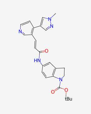 Cn1cc(-c2ccncc2/C=C/C(=O)Nc2ccc3c(c2)CCN3C(=O)OC(C)(C)C)cn1